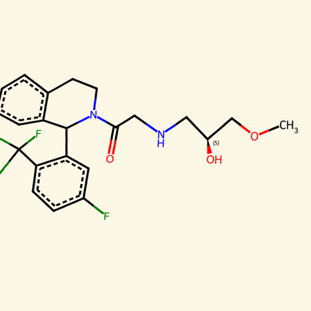 COC[C@@H](O)CNCC(=O)N1CCc2ccccc2C1c1cc(F)ccc1C(F)(F)F